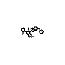 Fc1ccccc1-c1cc(-c2cc3cc(CN4CCCCC4)ccc3[nH]2)c2c[nH]cc2c1